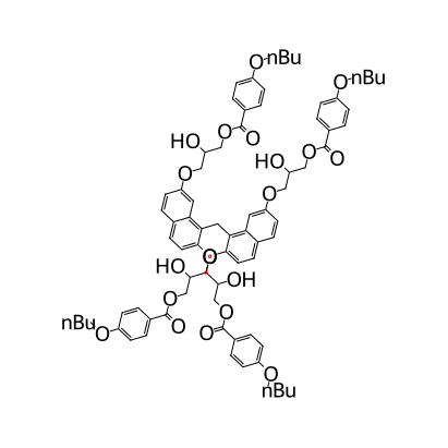 CCCCOc1ccc(C(=O)OCC(O)COc2ccc3ccc(OCC(O)COC(=O)c4ccc(OCCCC)cc4)c(Cc4c(OCC(O)COC(=O)c5ccc(OCCCC)cc5)ccc5ccc(OCC(O)COC(=O)c6ccc(OCCCC)cc6)cc45)c3c2)cc1